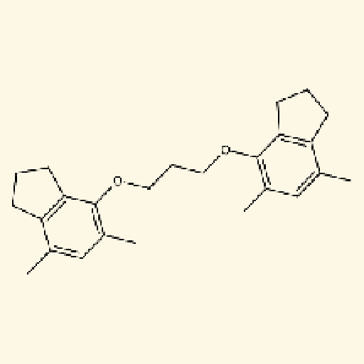 Cc1cc(C)c(OCCCOc2c(C)cc(C)c3c2CCC3)c2c1CCC2